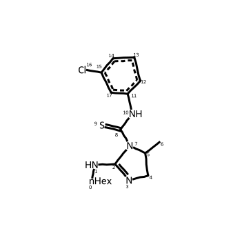 CCCCCCNC1=NCC(C)N1C(=S)Nc1cccc(Cl)c1